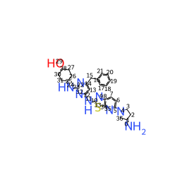 N[C@@H]1CCN(c2ccc3nc(Nc4cc(Cc5ccccc5)nc(NC5CCC(O)CC5)n4)sc3n2)C1